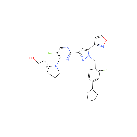 OCC[C@H]1CCCN1c1nc(-c2cc(-c3ccon3)n(Cc3ccc(C4CCCC4)cc3F)n2)ncc1F